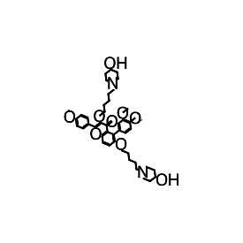 COc1ccc(-c2oc3ccc(OCCCCCN4CCC(O)CC4)c(-c4ccc(OC)c(OC)c4)c3c(=O)c2OCCCCCN2CCC(O)CC2)cc1